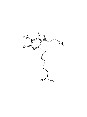 CCCn1cnc2c1c(OCCCCC(C)=O)nc(=O)n2C